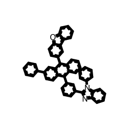 c1ccc(-c2ccc3c(-c4cccc(-c5nc6ccccc6n5-c5ccccc5)c4)c4ccccc4c(-c4ccc5oc6ccccc6c5c4)c3c2)cc1